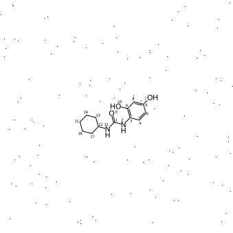 O=C(Nc1ccc(O)cc1O)NC1CCCCC1